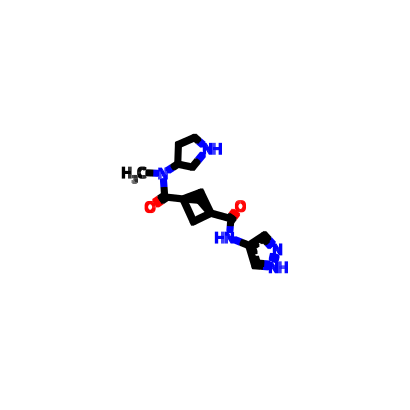 CN(C(=O)C12CC(C(=O)Nc3cn[nH]c3)(C1)C2)C1CCNC1